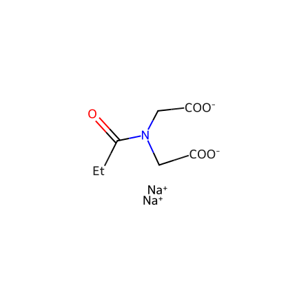 CCC(=O)N(CC(=O)[O-])CC(=O)[O-].[Na+].[Na+]